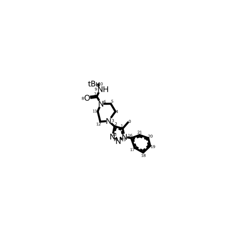 Cc1c(N2CCN(C(=O)NC(C)(C)C)CC2)nnn1-c1ccccc1